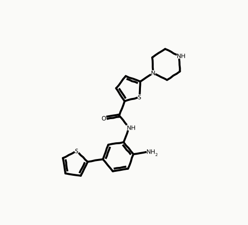 Nc1ccc(-c2cccs2)cc1NC(=O)c1ccc(N2CCNCC2)s1